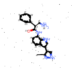 Cc1n[nH]cc1-c1c[nH]c2c(NC(=O)[C@H](CN)c3ccccc3)cccc12